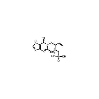 C=CC(Cn1c(N)nc2nc[nH]c2c1=O)OCP(=O)(O)O